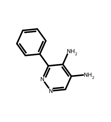 Nc1cnnc(-c2ccccc2)c1N